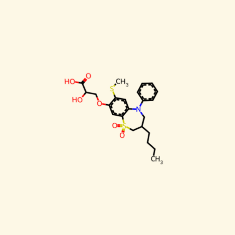 CCCCC1CN(c2ccccc2)c2cc(SC)c(OCC(O)C(=O)O)cc2S(=O)(=O)C1